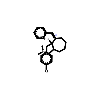 CN(C)CC1CCCC/C(=C/c2ccccc2)C1(O)Cc1ccc(Cl)cc1